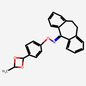 CC1OC(c2ccc(ON=C3c4ccccc4CCc4ccccc43)cc2)O1